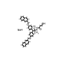 CC(C)(COC(=O)C=NO)C(c1ccc(OCc2ccc3ccccc3n2)cc1)c1ccc(OCc2ccc3ccccc3n2)cc1.[NaH]